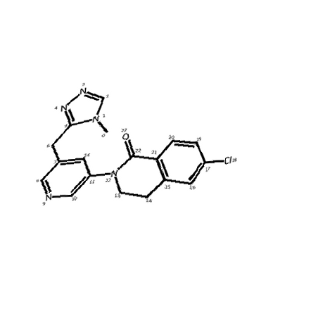 Cn1cnnc1Cc1cncc(N2CCc3cc(Cl)ccc3C2=O)c1